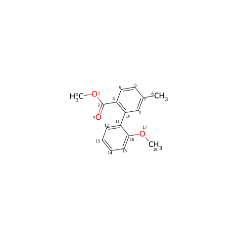 COC(=O)c1ccc(C)cc1-c1ccccc1OC